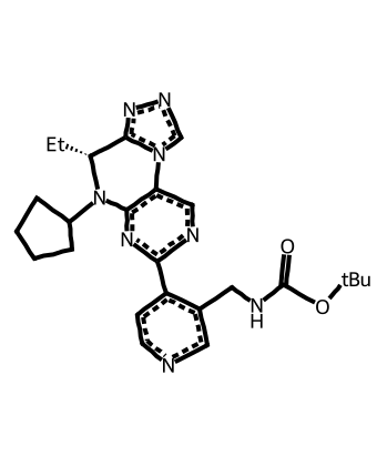 CC[C@@H]1c2nncn2-c2cnc(-c3ccncc3CNC(=O)OC(C)(C)C)nc2N1C1CCCC1